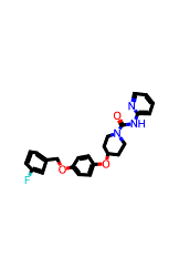 O=C(Nc1ccccn1)N1CCC(Oc2ccc(OCc3cccc(F)c3)cc2)CC1